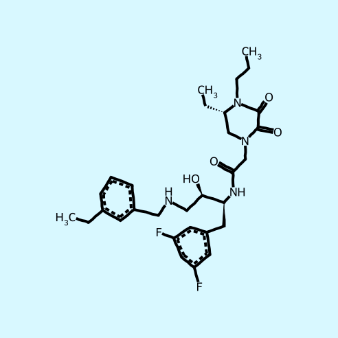 CCCN1C(=O)C(=O)N(CC(=O)N[C@@H](Cc2cc(F)cc(F)c2)[C@H](O)CNCc2cccc(CC)c2)C[C@@H]1CC